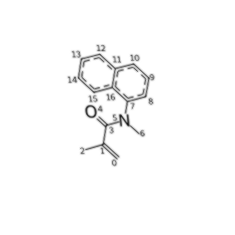 C=C(C)C(=O)N(C)c1cccc2ccccc12